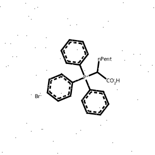 CCCCCC(C(=O)O)[P+](c1ccccc1)(c1ccccc1)c1ccccc1.[Br-]